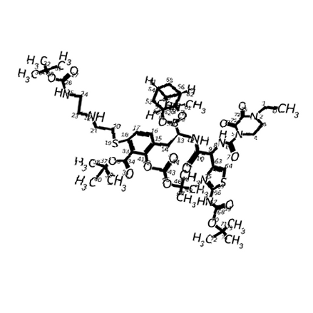 CCN1CCN(C(=O)NC(C(=O)N[C@@H](Cc2ccc(SCCNCCNC(=O)OC(C)(C)C)c(C(=O)OC(C)(C)C)c2OC(=O)OC(C)(C)C)B2O[C@@H]3C[C@@H]4C[C@@H](C4(C)C)[C@]3(C)O2)c2csc(NC(=O)OC(C)(C)C)n2)C(=O)C1=O